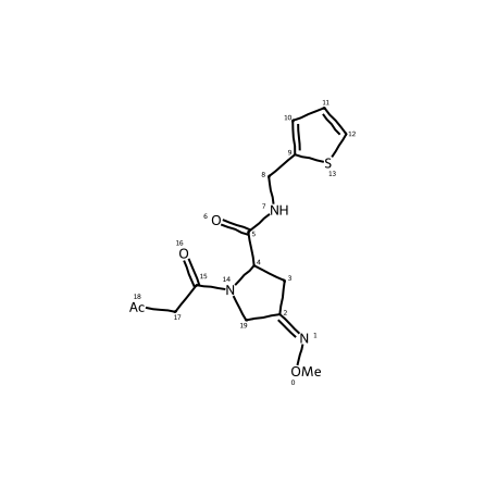 CON=C1CC(C(=O)NCc2cccs2)N(C(=O)CC(C)=O)C1